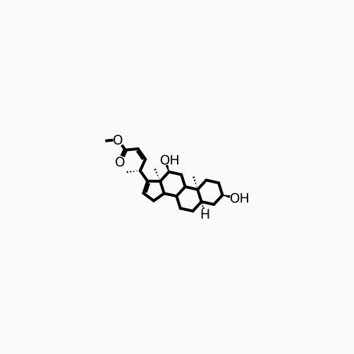 COC(=O)/C=C\[C@@H](C)C1=CCC2C3CC[C@@H]4C[C@H](O)CC[C@]4(C)C3C[C@H](O)[C@]12C